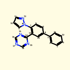 c1ccc(-c2ccc(-n3cccn3)c(-c3ncncn3)c2)cc1